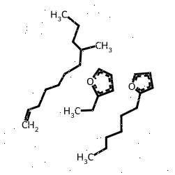 C=CCCCCCC(C)CCC.CCCCCCc1ccco1.CCc1ccco1